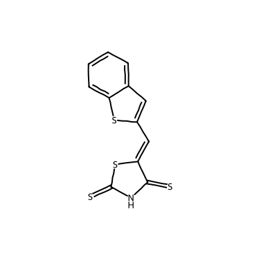 S=C1NC(=S)C(=Cc2cc3ccccc3s2)S1